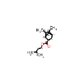 CC(C)CCOC(=O)C1CC2CC1C(C)C2C